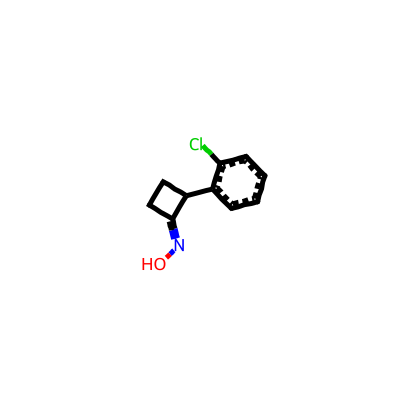 ON=C1CCC1c1ccccc1Cl